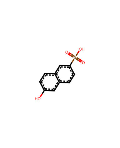 O=S(=O)(O)c1ccc2cc(O)ccc2c1